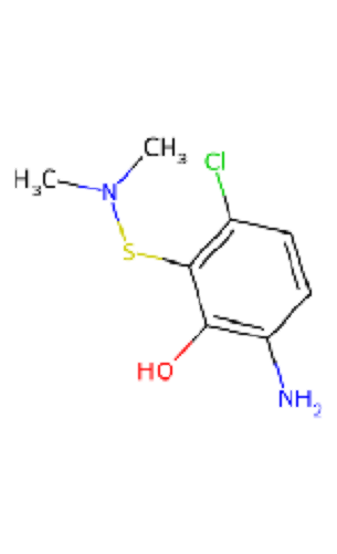 CN(C)Sc1c(Cl)ccc(N)c1O